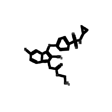 CCOC(=O)Cc1c(C)c(Sc2ccc(S(=O)(=O)NC3CC3)cc2)n2cc(F)ccc12